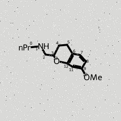 CCCNCC1CCc2ccc(OC)cc2O1